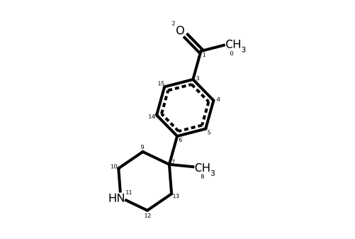 CC(=O)c1ccc(C2(C)CCNCC2)cc1